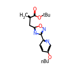 C=C(Cc1nc(-c2ccc(OCCCC)cn2)no1)C(=O)OC(C)(C)C